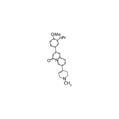 CCCc1cc(-c2cc(=O)n3cc(C4=CCN(C)CC4)ccc3c2)ccc1OC